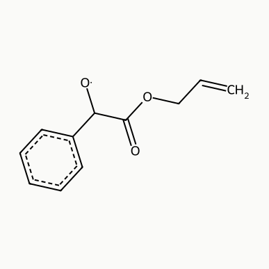 C=CCOC(=O)C([O])c1ccccc1